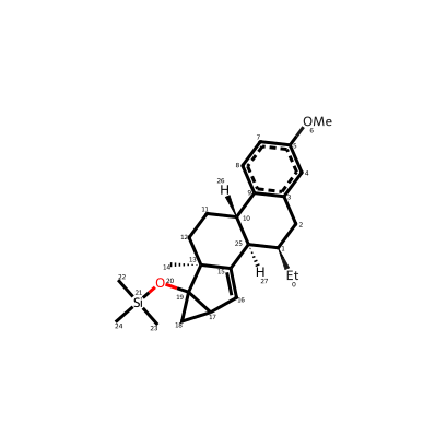 CC[C@@H]1Cc2cc(OC)ccc2[C@H]2CC[C@@]3(C)C(=CC4CC43O[Si](C)(C)C)[C@H]12